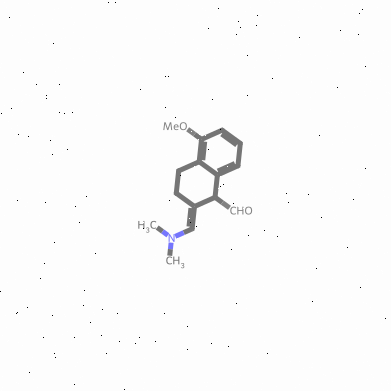 COc1cccc2c1CCC(=CN(C)C)C2C=O